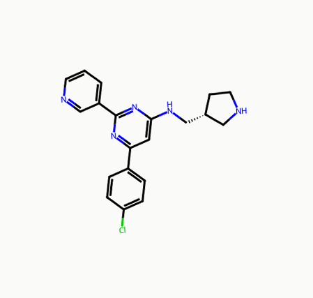 Clc1ccc(-c2cc(NC[C@@H]3CCNC3)nc(-c3cccnc3)n2)cc1